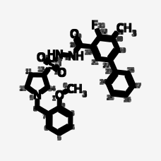 COc1ccccc1CN1CCC(S(=O)(=O)NNC(=O)c2cc(-c3ccccc3)cc(C)c2F)C1